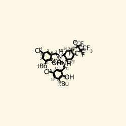 CC(C)(C)c1cc(Cl)cc(C=[N+]2[Co][N+](=Cc3cc(Cl)cc(C(C)(C)C)c3O)[C@@H]3CCCC[C@H]32)c1O.[O-]C(F)(F)C(F)(C(F)(F)F)C(F)(F)F